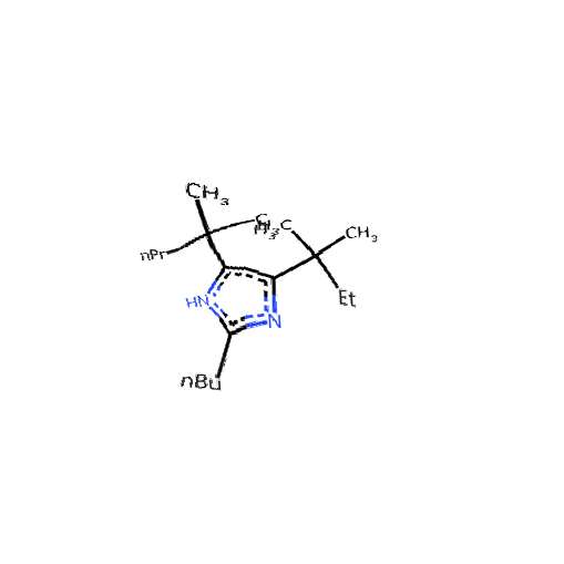 CCCCc1nc(C(C)(C)CC)c(C(C)(C)CCC)[nH]1